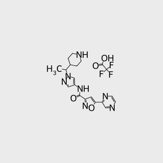 CC(C1CCNCC1)n1cc(NC(=O)c2cc(-c3cnccn3)on2)cn1.O=C(O)C(F)(F)F